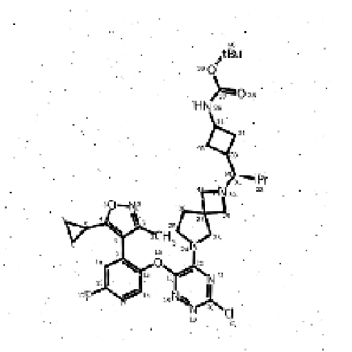 Cc1noc(C2CC2)c1-c1cc(F)ccc1Oc1nnc(Cl)nc1N1CCC2(C1)CN([C@H](C(C)C)C1CC(NC(=O)OC(C)(C)C)C1)C2